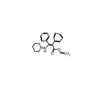 C=COC(=O)C(=C(NN1CCCCS1)c1ccccc1)c1ccccc1